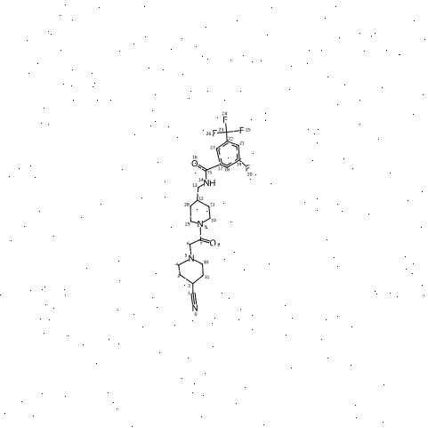 N#CC1CCN(CC(=O)N2CCC(CNC(=O)c3cc(F)cc(C(F)(F)F)c3)CC2)CC1